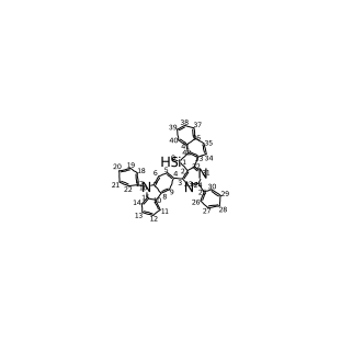 C[SiH]1c2c(-c3ccc4c(c3)c3ccccc3n4-c3ccccc3)nc(-c3ccccc3)nc2-c2ccc3ccccc3c21